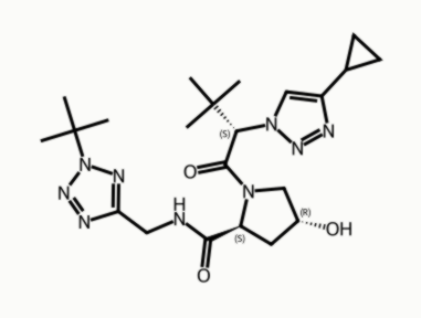 CC(C)(C)[C@@H](C(=O)N1C[C@H](O)C[C@H]1C(=O)NCc1nnn(C(C)(C)C)n1)n1cc(C2CC2)nn1